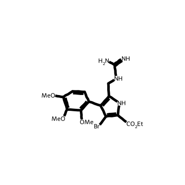 CCOC(=O)c1[nH]c(CNC(=N)N)c(-c2ccc(OC)c(OC)c2OC)c1Br